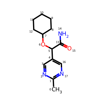 Cc1ncc(C(OC2CCCCC2)C(N)=O)cn1